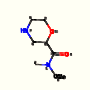 CON(C)C(=O)C1CNCCO1